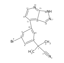 CC(C)(C#N)c1cc(Br)cc(-c2ccnc3[nH]ncc23)c1